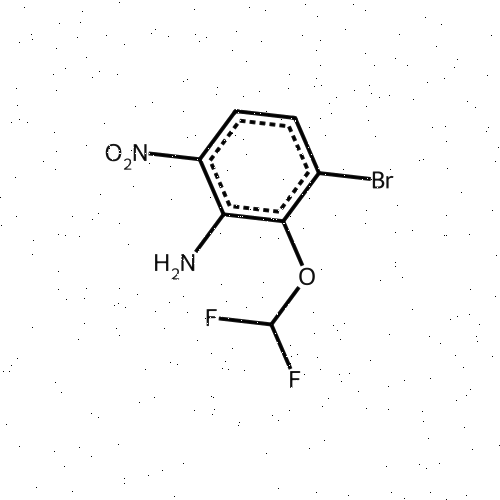 Nc1c([N+](=O)[O-])ccc(Br)c1OC(F)F